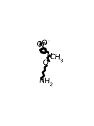 CN(CCOCCCCCCN)Cc1cccc([N+](=O)[O-])c1